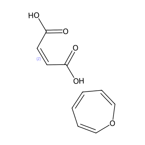 C1=CC=COC=C1.O=C(O)/C=C\C(=O)O